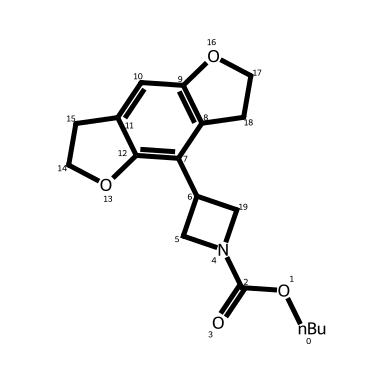 CCCCOC(=O)N1CC(c2c3c(cc4c2OCC4)OCC3)C1